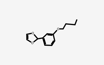 CCCCOc1cccc(C2OC=CO2)c1